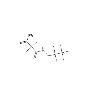 C=C(N)C(C)(C)C(=C)NCC(F)(F)C(C)(F)F